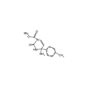 Cc1ccc(C2(N)C=CN(C(=O)OC(C)(C)C)C(=O)N2)cc1